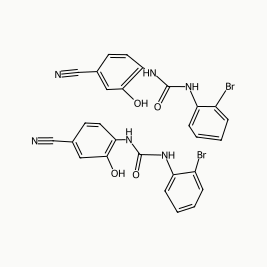 N#Cc1ccc(NC(=O)Nc2ccccc2Br)c(O)c1.N#Cc1ccc(NC(=O)Nc2ccccc2Br)c(O)c1